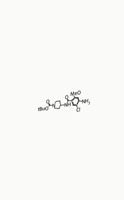 COc1cc(N)c(Cl)cc1C(=O)NC1CCN(C(=O)OC(C)(C)C)CC1